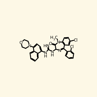 CN1C(=O)C(NC(=N)Nc2ccc(N3CCOCC3)c3ccccc23)N=C(c2ccccc2Cl)c2cc(Cl)ccc21